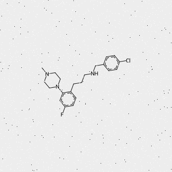 CN1CCN(c2cc(F)ccc2CCCNCc2ccc(Cl)cc2)CC1